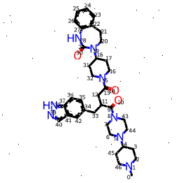 CN1CCC(N2CCN(C(=O)C(CC(=O)N3CCC(N4CCc5ccccc5NC4=O)CC3)Cc3ccc4[nH]ncc4c3)CC2)CC1